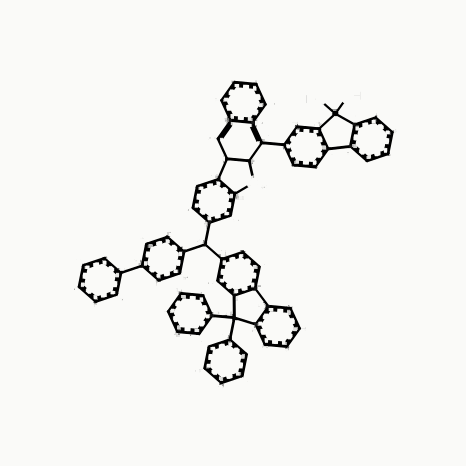 CC1(C)c2ccccc2-c2ccc(C3=c4ccccc4=CC4c5ccc(C(c6ccc(-c7ccccc7)cc6)c6ccc7c(c6)C(c6ccccc6)(c6ccccc6)c6ccccc6-7)cc5OC34)cc21